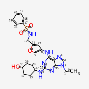 CCn1cnc2c(Nc3coc(CNS(=O)(=O)c4ccccc4)c3)nc(NC3CCC(O)CC3)nc21